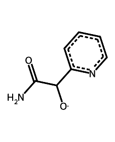 NC(=O)C([O])c1ccccn1